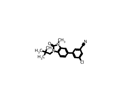 Cn1c(=O)n(CC(C)(C)C)c2ccc(-c3cc(Cl)cc(C#N)c3)cc21